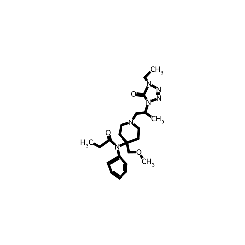 CCC(=O)N(c1ccccc1)C1(COC)CCN(CC(C)n2nnn(CC)c2=O)CC1